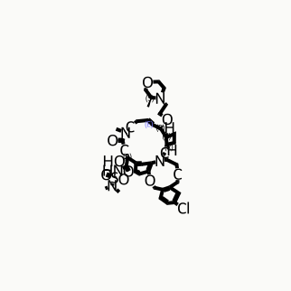 C[C@H]1COCCN1CCO[C@H]1/C=C/CCN(C)C(=O)C[C@](O)(C(=O)NS(=O)(=O)N(C)C)c2ccc3c(c2)N(CCCCc2cc(Cl)ccc2CO3)C[C@@H]2CC[C@H]21